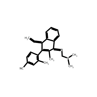 C=C=C1C(c2ccc(C#N)cc2C)=C(C)/C(=N\CN(C)C)c2ccccc21